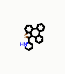 C1=CCNC(c2sc3cccc4c3c2-c2ccccc2-c2ccccc2-4)=C1